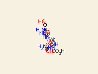 C[C@H](NC(=O)[C@@H](N)Cc1ccc(O)cc1)C(=O)NCC(=O)N1CCC[C@H]1C(=O)N[C@@H](CCC(=O)O)C(=O)N[C@H](C(N)=O)[C@@H](C)O